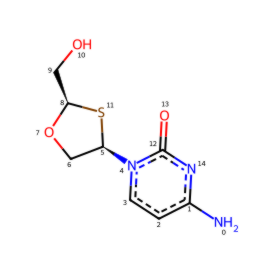 Nc1ccn([C@H]2CO[C@@H](CO)S2)c(=O)n1